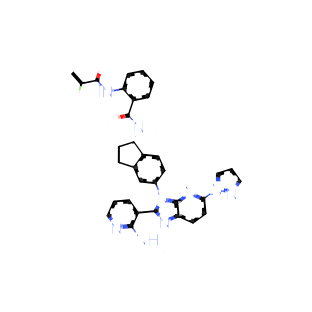 C=C(F)C(=O)Nc1ccccc1C(=O)N[C@H]1CCc2cc(-n3c(-c4cccnc4N)nc4ccc(-n5cccn5)nc43)ccc21